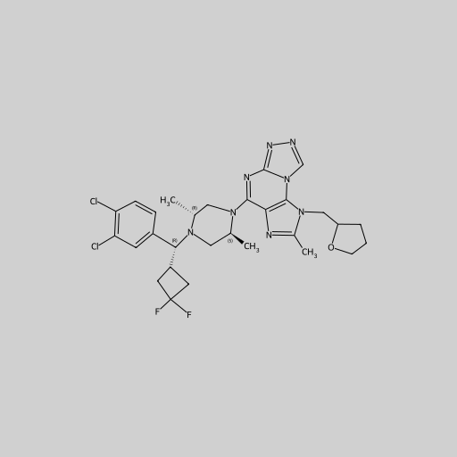 Cc1nc2c(N3C[C@@H](C)N([C@@H](c4ccc(Cl)c(Cl)c4)C4CC(F)(F)C4)C[C@@H]3C)nc3nncn3c2n1CC1CCCO1